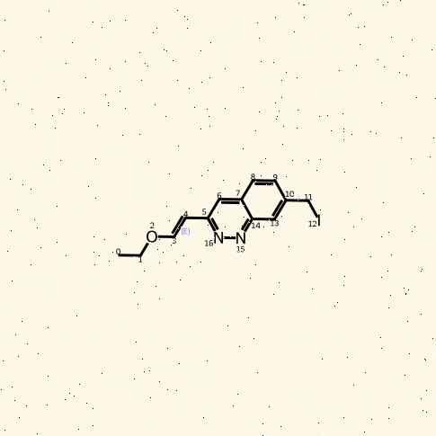 CCO/C=C/c1cc2ccc(CI)cc2nn1